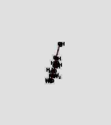 N[C@@H](CCCCNC(=O)CC[C@H](NC(=O)[C@H]1CC[C@H](CNC(=O)CCCCCCCCCCCCCCCCCCC(=O)O)CC1)C(=O)O)C(=O)NCCCC[C@H](N)C(=O)NCCCC[C@H](NS)C(=O)O